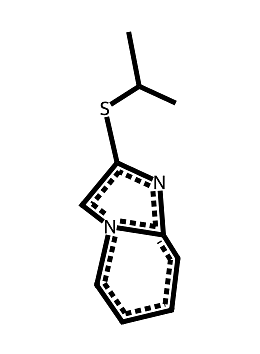 CC(C)Sc1cn2ccccc2n1